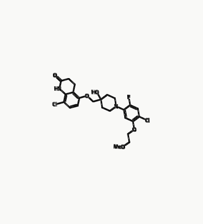 COCCOc1cc(N2CCC(O)(COc3ccc(Cl)c4c3CCC(=O)N4)CC2)c(F)cc1Cl